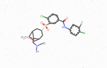 CC(C)N(C[C@@]1(O)C2C[C@@H](S(=O)(=O)c3cc(C(=O)Nc4ccc(F)c(F)c4)ccc3Cl)CC1[C@@H](C)C2)C(C)C